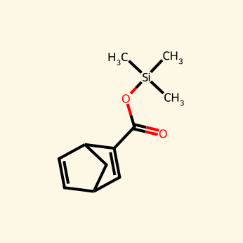 C[Si](C)(C)OC(=O)C1=CC2C=CC1C2